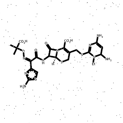 CCN1C(SCC2=C(C(=O)O)N3C(=O)C(NC(=O)/C(=N\OC(C)(C)C(=O)O)c4csc(N)n4)[C@@H]3SC2)=NC(N)=CC1N